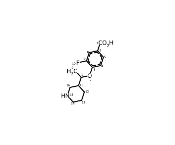 CC(Oc1ccc(C(=O)O)cc1F)C1CCCNC1